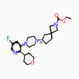 CCOC(=O)N1CC2(CC[C@@H](N3CCN(c4cc(F)cnc4C4CCOCC4)CC3)C2)C1